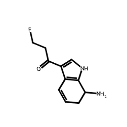 NC1CC=Cc2c(C(=O)CCF)c[nH]c21